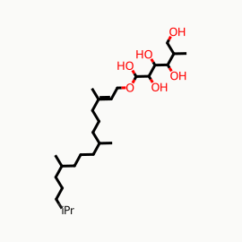 CC(=CCOC(O)C(O)C(O)C(O)C(C)CO)CCCC(C)CCCC(C)CCCC(C)C